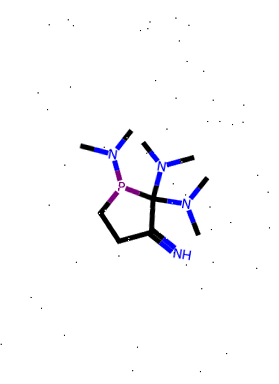 CN(C)P1CCC(=N)C1(N(C)C)N(C)C